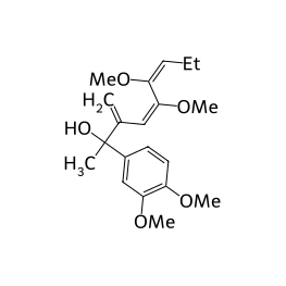 C=C(/C=C(OC)\C(=C/CC)OC)C(C)(O)c1ccc(OC)c(OC)c1